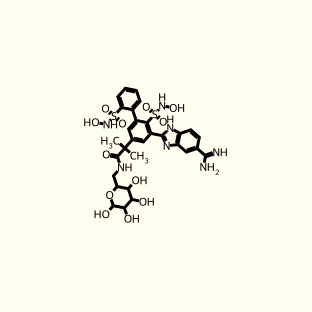 CC(C)(C(=O)NCC1OC(O)C(O)C(O)C1O)c1cc(-c2nc3cc(C(=N)N)ccc3[nH]2)c(S(=O)(=O)NO)c(-c2ccccc2S(=O)(=O)NO)c1